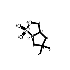 CC1(C)CC2COS(=O)(=O)N2C1